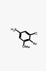 Bc1cc(Cl)c(C(C)=O)c(OC)c1